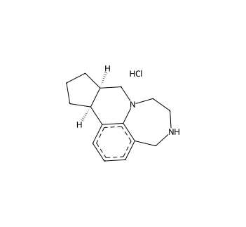 Cl.c1cc2c3c(c1)[C@H]1CCC[C@H]1CN3CCNC2